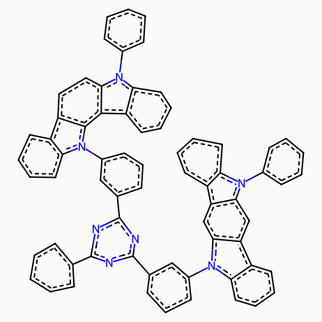 c1ccc(-c2nc(-c3cccc(-n4c5ccccc5c5cc6c(cc54)c4ccccc4n6-c4ccccc4)c3)nc(-c3cccc(-n4c5ccccc5c5ccc6c(c7ccccc7n6-c6ccccc6)c54)c3)n2)cc1